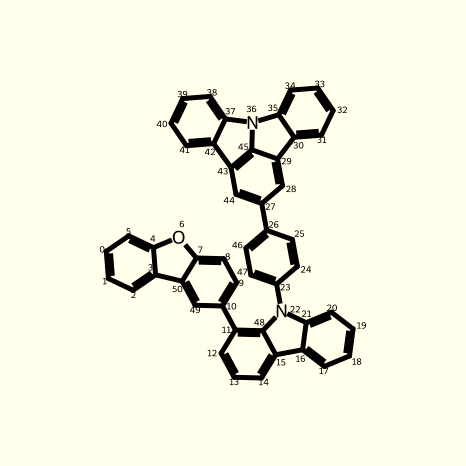 c1ccc2c(c1)oc1ccc(-c3cccc4c5ccccc5n(-c5ccc(-c6cc7c8ccccc8n8c9ccccc9c(c6)c78)cc5)c34)cc12